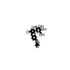 OCC1O[C@@H](c2ccc(Cl)c(CC3=CC=C(OCC4(F)COC4)CC3I)c2)[C@H](O)[C@@H](O)[C@@H]1O